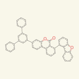 O=c1oc2cc(-c3cc(-c4ccccc4)cc(-c4ccccc4)c3)ccc2c2cccc(-c3cccc4oc5ccccc5c34)c12